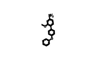 COc1cc(N)ccc1-c1ccc(Oc2ccccc2)cc1